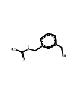 CC(=O)NCc1cccc(CO)c1